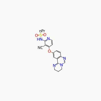 CCCS(=O)(=O)Nc1nccc(Oc2ccc3c(c2)C2=NCCCN2C=N3)c1C#N